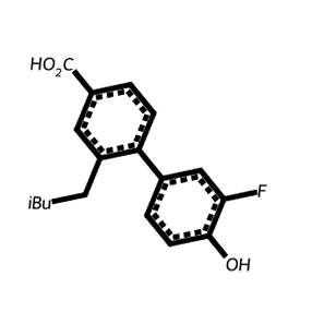 CCC(C)Cc1cc(C(=O)O)ccc1-c1ccc(O)c(F)c1